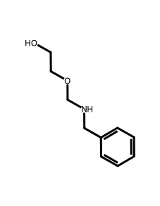 OCCOCNCc1ccccc1